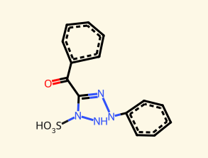 O=C(C1=NN(c2ccccc2)NN1S(=O)(=O)O)c1ccccc1